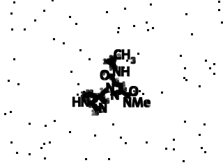 CNC(=O)c1cc(C(=O)NC2C[C@@H]2C)n(Cc2cncc3[nH]ccc23)n1